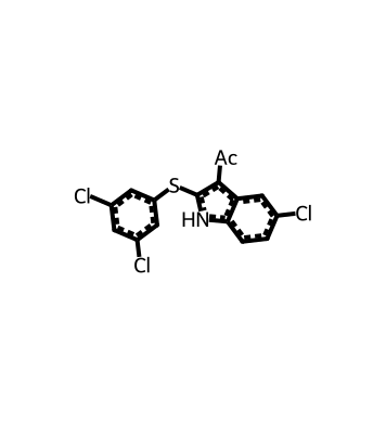 CC(=O)c1c(Sc2cc(Cl)cc(Cl)c2)[nH]c2ccc(Cl)cc12